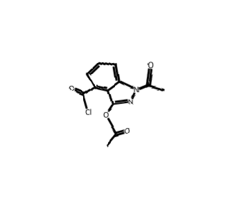 CC(=O)Oc1nn(C(C)=O)c2cccc(C(=O)Cl)c12